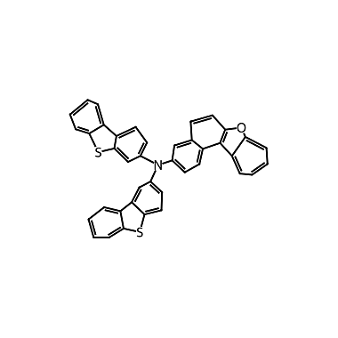 c1ccc2c(c1)oc1ccc3cc(N(c4ccc5c(c4)sc4ccccc45)c4ccc5sc6ccccc6c5c4)ccc3c12